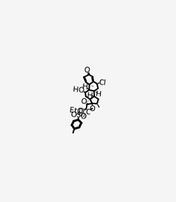 CCOC(=O)O[C@]1(C(=O)COS(=O)(=O)c2ccc(C)cc2)[C@H](C)C[C@H]2[C@@H]3C[C@H](Cl)C4=CC(=O)C=C[C@]4(C)[C@H]3C(O)C[C@@]21C